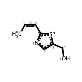 C/C=C\c1ncc(CO)s1